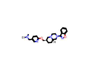 CCN(C)Cc1ccc(OC[C@@H]2CC[C@H]3CN(c4noc5ccccc45)CCN3C2)nc1